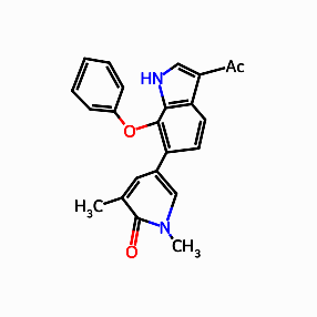 CC(=O)c1c[nH]c2c(Oc3ccccc3)c(-c3cc(C)c(=O)n(C)c3)ccc12